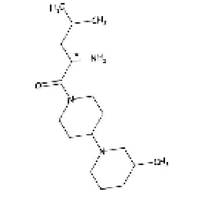 CC(C)C[C@H](N)C(=O)N1CCC(N2CCCC(C)C2)CC1